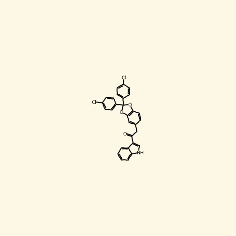 O=C(Cc1ccc2c(c1)OC(c1ccc(Cl)cc1)(c1ccc(Cl)cc1)O2)c1c[nH]c2ccccc12